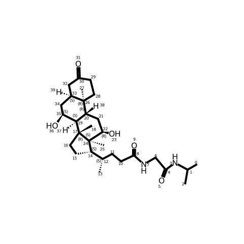 CC(C)NC(=O)CNC(=O)CC[C@H](C)[C@@H]1CC[C@]2(C)[C@@H]3[C@@H](C[C@@H](O)[C@@]12C)[C@]1(C)CCC(=O)C[C@@H]1C[C@@H]3O